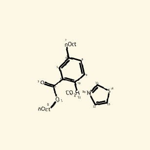 CCCCCCCCOC(=O)c1cc(CCCCCCCC)ccc1C(=O)O.c1cscn1